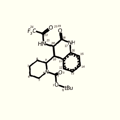 CC(C)(C)OC(=O)N1CCCCC1C1c2ccccc2NC(=O)C1NC(=O)C(F)(F)F